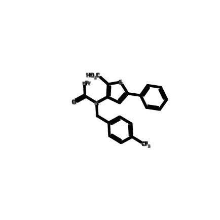 CCCC(=O)N(Cc1ccc(C(F)(F)F)cc1)c1cc(-c2ccccc2)sc1C(=O)O